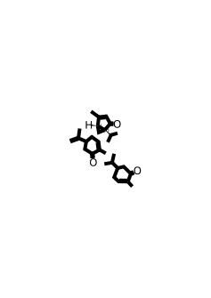 C=C(C)C1CC=C(C)C(=O)C1.CC1=CC(=O)[C@@]2(C(C)C)C[C@@H]12.CC1=CCC(C(C)C)CC1=O